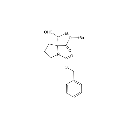 CCC(C=O)[C@@]1(C(=O)OC(C)(C)C)CCCN1C(=O)OCc1ccccc1